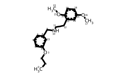 CCCOc1cccc(CNCCc2cc(OC)ccc2OC)c1